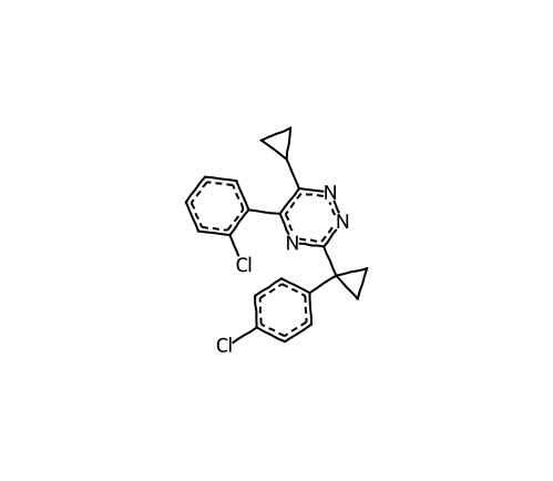 Clc1ccc(C2(c3nnc(C4CC4)c(-c4ccccc4Cl)n3)CC2)cc1